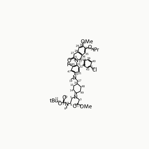 COC(=O)CN(CCN(C)C(=O)OC(C)(C)C)[C@H]1CC[C@@H](CN(C)c2ccc(N3C(=O)Cc4cc(OC)c(OC(C)C)cc4[C@@H]3c3ccc(Cl)cc3)c(F)c2)CC1